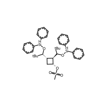 CC(C)(C)C(O[SiH](c1ccccc1)c1ccccc1)[C@@H]1[C@@H](C(O[SiH](c2ccccc2)c2ccccc2)C(C)(C)C)C[C@H]1OS(C)(=O)=O